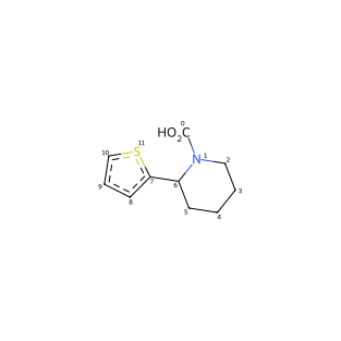 O=C(O)N1CCCCC1c1cccs1